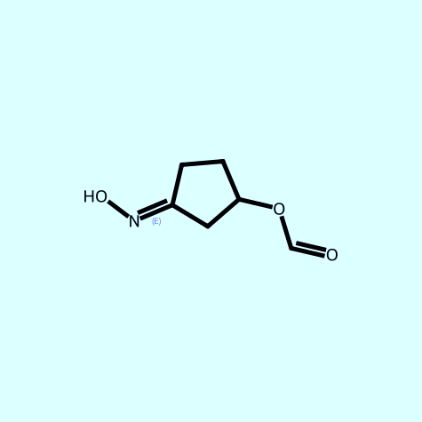 O=COC1CC/C(=N\O)C1